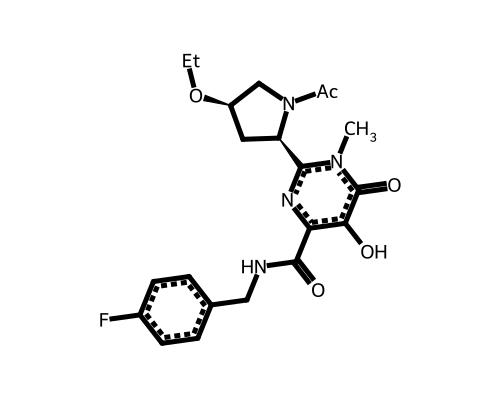 CCO[C@@H]1C[C@H](c2nc(C(=O)NCc3ccc(F)cc3)c(O)c(=O)n2C)N(C(C)=O)C1